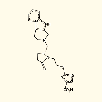 O=C(O)c1csc(SCCN2C(=O)CC[C@@H]2CN2CCc3c([nH]c4ccccc34)C2)n1